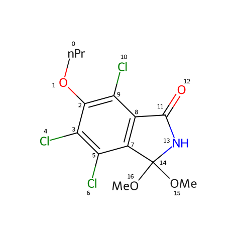 CCCOc1c(Cl)c(Cl)c2c(c1Cl)C(=O)NC2(OC)OC